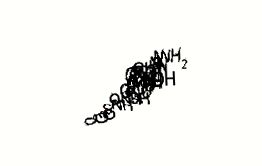 CC(C)(COP(=O)(O)OP(=O)(O)OC[C@H]1O[C@@H](n2cnc3c(N)ncnc32)[C@H](O)[C@@H]1OP(=O)(O)O)[C@@H](O)C(=O)NCCC(=O)NCCSC(=O)CC(=O)Cc1ccccc1